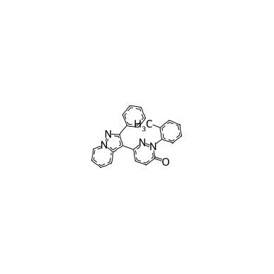 Cc1ccccc1-n1nc(-c2c(-c3ccccc3)nn3ccccc23)ccc1=O